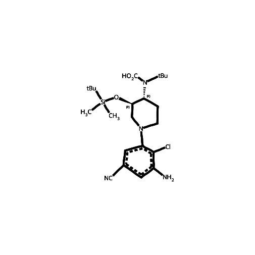 CC(C)(C)N(C(=O)O)[C@@H]1CCN(c2cc(C#N)cc(N)c2Cl)C[C@H]1O[Si](C)(C)C(C)(C)C